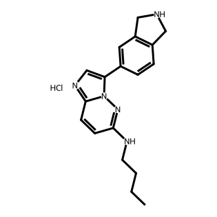 CCCCNc1ccc2ncc(-c3ccc4c(c3)CNC4)n2n1.Cl